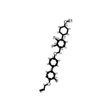 C=CCOc1ccc(-c2ccc(OCc3ccc(C4CCC(OCC)CC4)c(F)c3F)cc2)cc1F